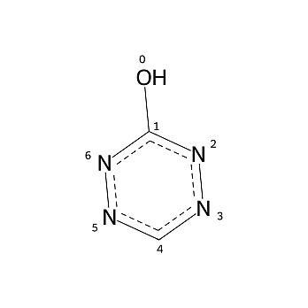 Oc1nncnn1